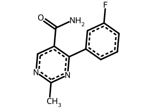 Cc1ncc(C(N)=O)c(-c2cccc(F)c2)n1